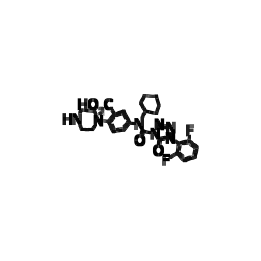 O=C(O)c1cc(N(C(=O)n2nnn(-c3c(F)cccc3F)c2=O)C2CCCCC2)ccc1N1CCNCC1